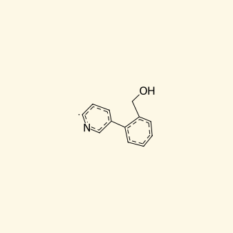 OCc1ccccc1-c1cc[c]nc1